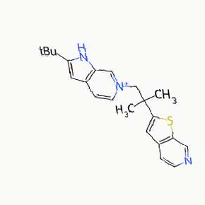 CC(C)(C)c1cc2cc[n+](CC(C)(C)c3cc4ccncc4s3)cc2[nH]1